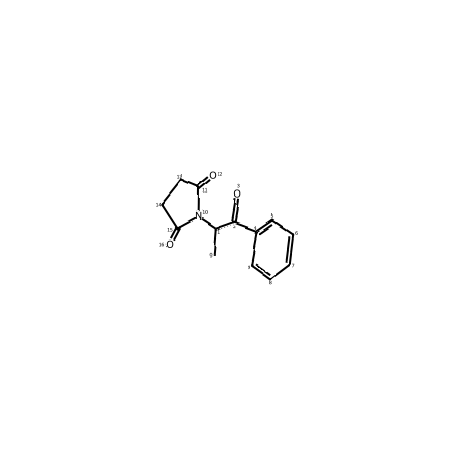 CC(C(=O)c1ccccc1)N1C(=O)CCC1=O